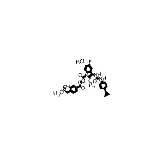 Cc1c(NC(=O)Nc2ccc(C3CC3)cc2)c2cc(F)ccc2n1C(=O)OOC(=O)c1ccc(CN(C)C)cc1.Cl